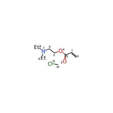 C=CC(=O)OCCN(CC)CC.CCl